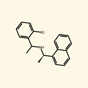 CCc1ccccc1C(C)N[C@H](C)c1cccc2ccccc12